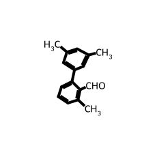 Cc1cc(C)cc(-c2cccc(C)c2C=O)c1